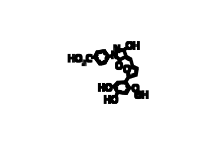 O=C(O)c1ccc(N2N=C(O)/C(=C/c3ccc(-c4cc(O)c(O)cc4OO)o3)C2=O)cc1